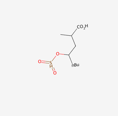 CCCCC(CC(C)C(=O)O)O[SH](=O)=O